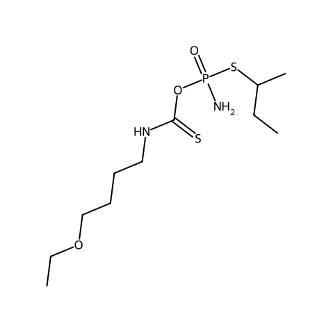 CCOCCCCNC(=S)OP(N)(=O)SC(C)CC